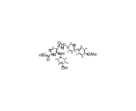 CCCCNc1ncc(C(=O)NCC2C=CC(c3ccc(OC)cc3)=NC2)c(N[C@H]2CC[C@H](O)CC2)n1